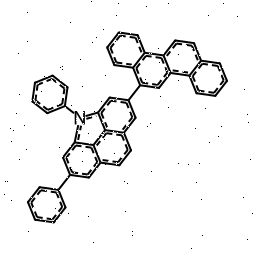 c1ccc(-c2cc3ccc4cc(-c5cc6c7ccccc7ccc6c6ccccc56)cc5c4c3c(c2)n5-c2ccccc2)cc1